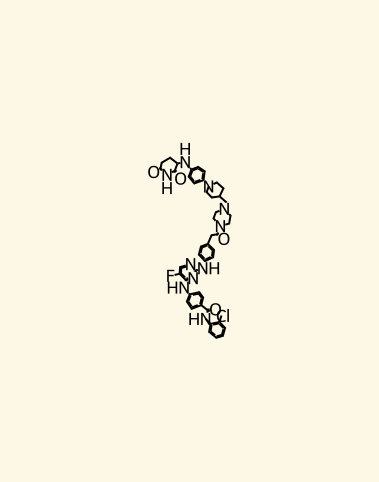 O=C1CCC(Nc2ccc(N3CCC(CN4CCN(C(=O)Cc5ccc(Nc6ncc(F)c(Nc7ccc(C(=O)Nc8ccccc8Cl)cc7)n6)cc5)CC4)CC3)cc2)C(=O)N1